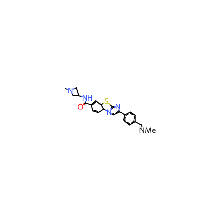 CNCc1ccc(-c2cn3c(n2)SC2C=C(C(=O)NC4CN(C)C4)C=CC23)cc1